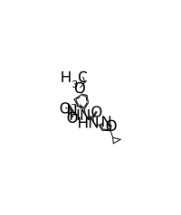 CCOc1ccc(NC(=O)Nc2cc(C3CC3)on2)c([N+](=O)[O-])c1